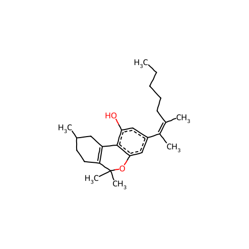 CCCCCC(C)=C(C)c1cc(O)c2c(c1)OC(C)(C)C1=C2CC(C)CC1